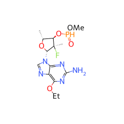 CCOc1nc(N)nc2c1ncn2[C@@H]1O[C@H](C)[C@@H](O[PH](=O)OC)[C@@]1(C)F